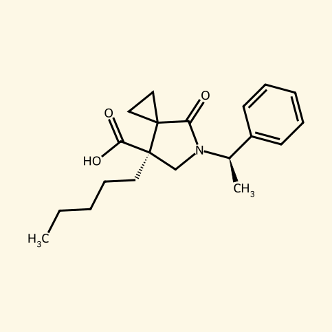 CCCCC[C@@]1(C(=O)O)CN([C@H](C)c2ccccc2)C(=O)C12CC2